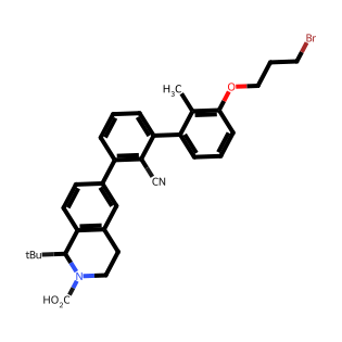 Cc1c(OCCCBr)cccc1-c1cccc(-c2ccc3c(c2)CCN(C(=O)O)C3C(C)(C)C)c1C#N